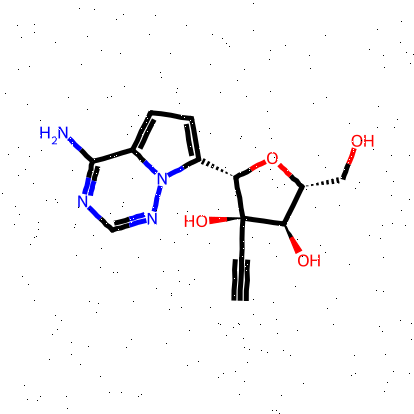 C#C[C@@]1(O)[C@H](O)[C@@H](CO)O[C@H]1c1ccc2c(N)ncnn12